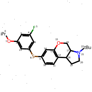 CC(C)Oc1cc(F)cc(Sc2ccc3c(c2)OCC2C3CCN2C(C)(C)C)c1